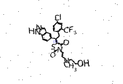 CN(CCO)CCN1C(=O)S/C(=C(/Cc2ccc(Cl)cc2C(F)(F)F)c2ccc3[nH]ncc3c2)C1=O